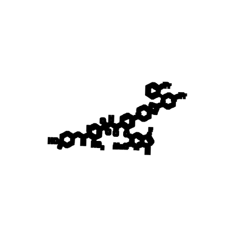 COc1nc2[nH]cc(F)c2cc1Oc1cc(N2CCC3(CC2)CC(N2CCN(C(C)C)C[C@H]2c2ccccc2C(C)C)C3)ccc1C(=O)NS(=O)(=O)c1cnc(NCC2CCC(C)(O)CC2)c([N+](=O)[O-])c1